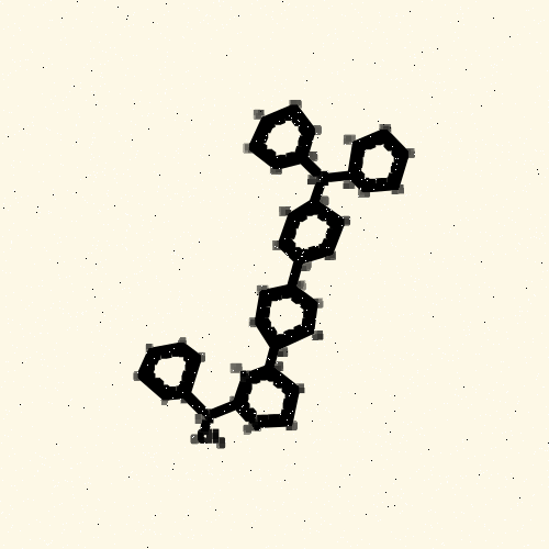 CN(c1ccccc1)c1nccc(-c2ccc(-c3ccc(N(c4ccccc4)c4ccccc4)cc3)cc2)n1